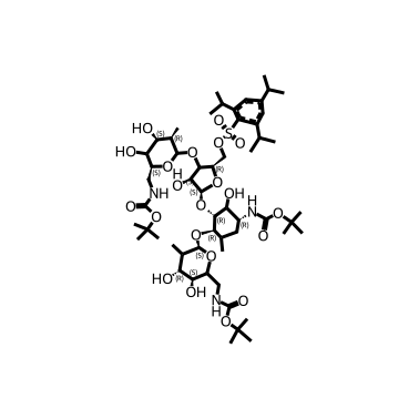 CC(C)c1cc(C(C)C)c(S(=O)(=O)OC[C@H]2O[C@@H](O[C@@H]3C(O)[C@H](NC(=O)OC(C)(C)C)CC(C)[C@H]3O[C@H]3OC(CNC(=O)OC(C)(C)C)[C@@H](O)[C@H](O)C3C)[C@@H](O)C2OC2O[C@@H](CNC(=O)OC(C)(C)C)C(O)[C@@H](O)[C@H]2C)c(C(C)C)c1